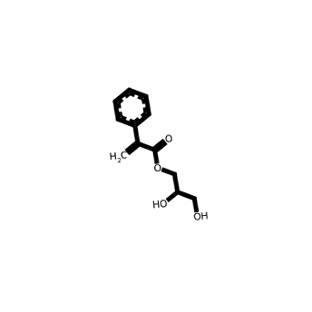 C=C(C(=O)OCC(O)CO)c1ccccc1